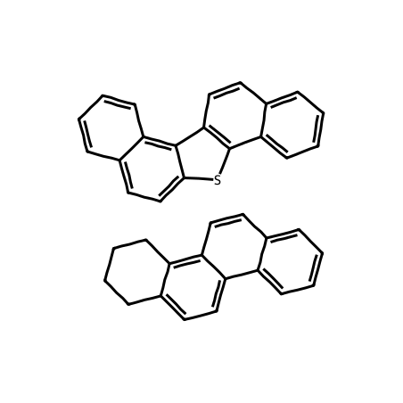 c1ccc2c(c1)ccc1c2sc2ccc3ccccc3c21.c1ccc2c(c1)ccc1c3c(ccc12)CCCC3